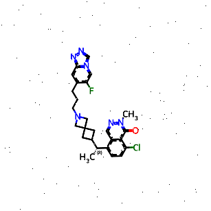 C[C@@H](c1ccc(Cl)c2c(=O)n(C)ncc12)C1CC2(C1)CN(CCCc1cc3nncn3cc1F)C2